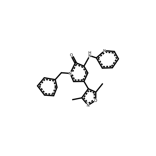 Cc1noc(C)c1-c1cc(Nc2ccccn2)c(=O)n(Cc2ccccc2)c1